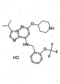 CC(C)c1cnc2c(NCc3ccccc3OC(F)(F)F)cc(OC3CCNCC3)nn12.Cl